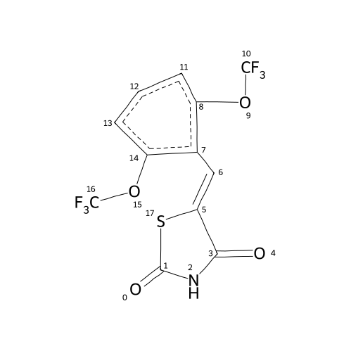 O=C1NC(=O)C(=Cc2c(OC(F)(F)F)cccc2OC(F)(F)F)S1